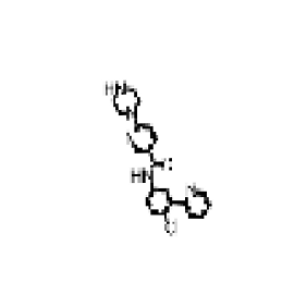 O=C(Nc1ccc(Cl)c(-c2ccccn2)c1)c1ccc(N2CCNCC2)nc1